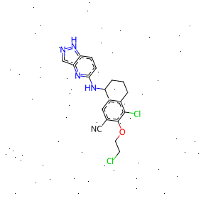 N#Cc1cc2c(c(Cl)c1OCCCl)CCCC2Nc1ccc2[nH]ncc2n1